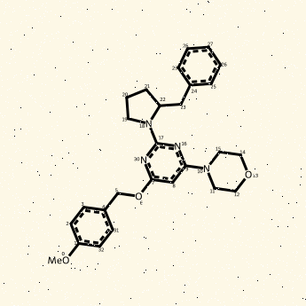 COc1ccc(COc2cc(N3CCOCC3)nc(N3CCCC3Cc3ccccc3)n2)cc1